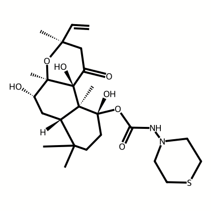 C=C[C@@]1(C)CC(=O)[C@]2(O)[C@]3(C)[C@@H](C[C@H](O)[C@@]2(C)O1)C(C)(C)CC[C@@]3(O)OC(=O)NN1CCSCC1